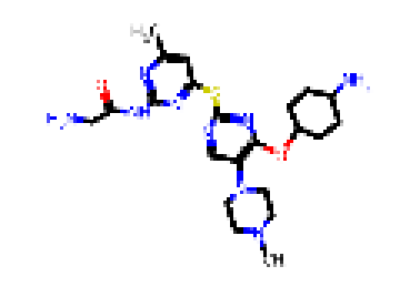 Cc1cc(Sc2ncc(N3CCN(C)CC3)c(OC3CCC(N)CC3)n2)nc(NC(=O)CN)n1